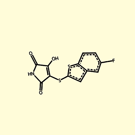 O=C1NC(=O)C(Sc2cc3cc(F)ccc3s2)=C1O